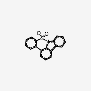 O=S1(=O)c2ccccc2-c2cccc3c4ccccc4n1c23